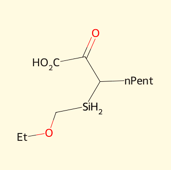 CCCCCC([SiH2]COCC)C(=O)C(=O)O